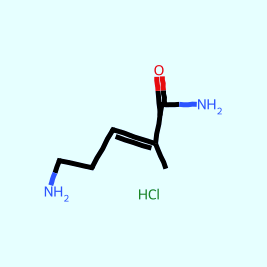 C/C(=C\CCN)C(N)=O.Cl